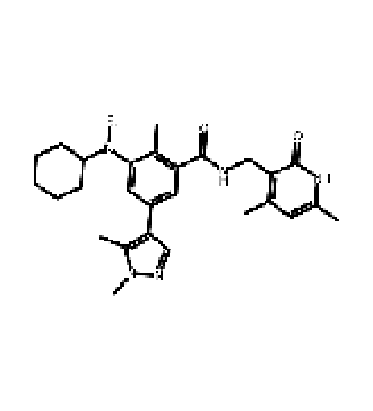 CCN(c1cc(-c2cnn(C)c2C)cc(C(=O)NCc2c(C)cc(C)[nH]c2=O)c1C)C1CCCCC1